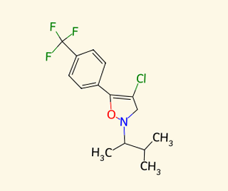 CC(C)C(C)N1CC(Cl)=C(c2ccc(C(F)(F)F)cc2)O1